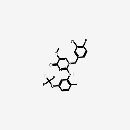 COc1cn(Cc2ccc(F)c(Cl)c2)c(Nc2cc(OC(F)(F)F)ccc2C)nc1=O